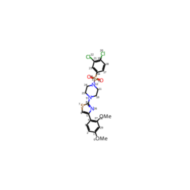 COc1ccc(-c2csc(N3CCN(S(=O)(=O)c4ccc(Cl)c(Cl)c4)CC3)n2)c(OC)c1